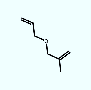 C=CCOCC(=C)C